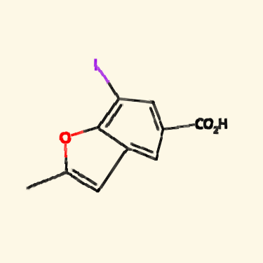 Cc1cc2cc(C(=O)O)cc(I)c2o1